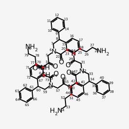 CC(=O)C(=O)CN(CC(c1ccccc1)c1ccccc1)C(=O)CN(CCCN)C(=O)CN(CC(c1ccccc1)c1ccccc1)C(=O)CN(CCCN)C(=O)CN(CC(c1ccccc1)c1ccccc1)C(=O)CNCCCN